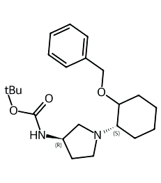 CC(C)(C)OC(=O)N[C@@H]1CCN([C@H]2CCCCC2OCc2ccccc2)C1